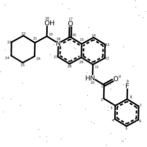 O=C(Cc1ccccc1F)Nc1cccc2c(=O)n(C(O)C3CCCCC3)ccc12